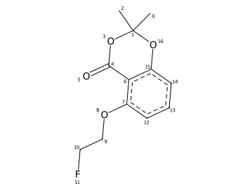 CC1(C)OC(=O)c2c(OCCF)cccc2O1